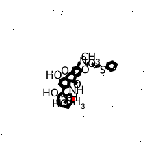 C[C@@H](O)[C@@]12C[C@]13c1cc(O)c4c(c1N[C@H]2C#C/C=C\C#C[C@H]3O)C(=O)c1ccc(CN(C)C(=O)OCCSc2ccccc2)cc1C4=O